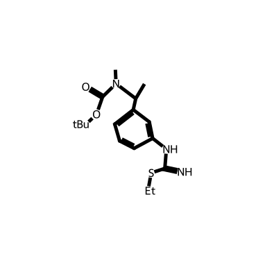 CCSC(=N)Nc1cccc(C(C)N(C)C(=O)OC(C)(C)C)c1